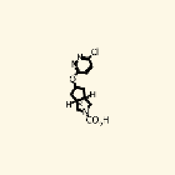 O=C(O)N1C[C@H]2CC(Oc3ccc(Cl)nn3)C[C@H]2C1